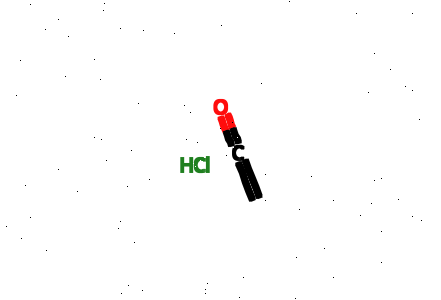 C=C=O.Cl